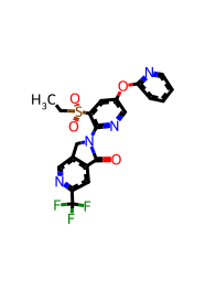 CCS(=O)(=O)c1cc(Oc2ccccn2)cnc1N1Cc2cnc(C(F)(F)F)cc2C1=O